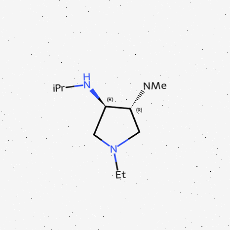 CCN1C[C@@H](NC)[C@H](NC(C)C)C1